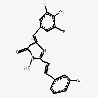 CN1C(=O)/C(=C/c2cc(F)c(O)c(F)c2)N=C1/C=C/c1cccc(O)c1